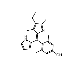 CCC1=C(C)C(=C(c2ccc[nH]2)c2c(C)cc(O)cc2C)N=C1C